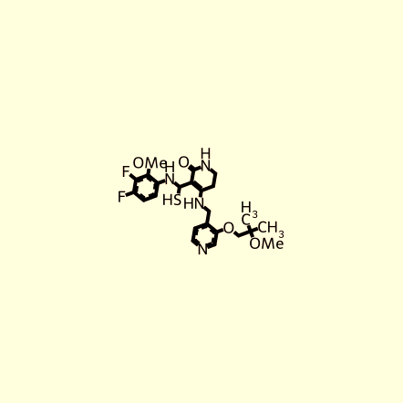 COc1c(NC(S)C2=C(NCc3ccncc3OCC(C)(C)OC)CCNC2=O)ccc(F)c1F